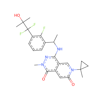 CC(Nc1nn(C)c(=O)c2cc(=O)n(C3(C)CC3)cc12)c1cccc(C(F)(F)C(C)(C)O)c1F